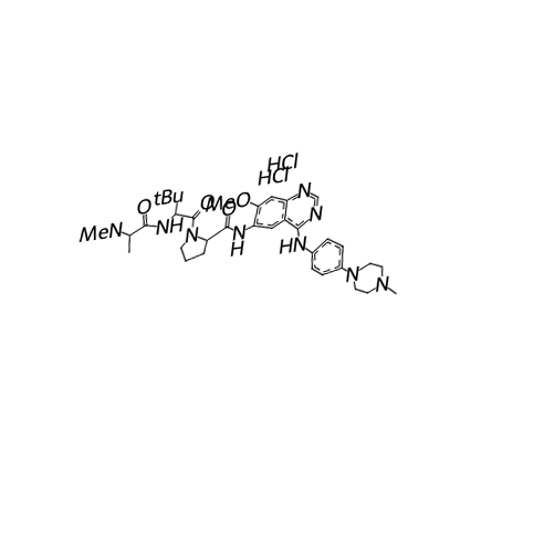 CNC(C)C(=O)NC(C(=O)N1CCCC1C(=O)Nc1cc2c(Nc3ccc(N4CCN(C)CC4)cc3)ncnc2cc1OC)C(C)(C)C.Cl.Cl